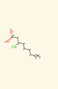 CCCCCC(Cl)CC([O])=O